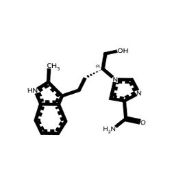 Cc1[nH]c2ccccc2c1CC[C@H](CO)n1cnc(C(N)=O)c1